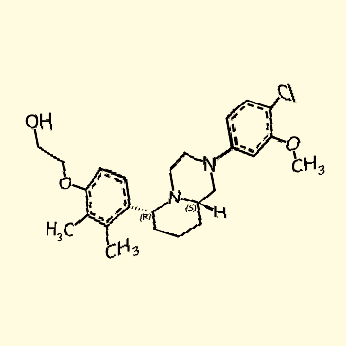 COc1cc(N2CCN3[C@@H](CCC[C@@H]3c3ccc(OCCO)c(C)c3C)C2)ccc1Cl